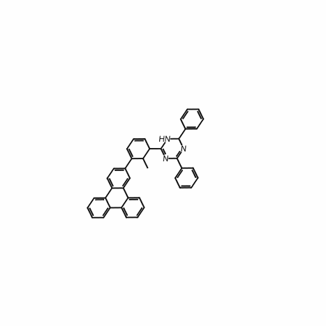 CC1C(c2ccc3c4ccccc4c4ccccc4c3c2)=CC=CC1C1=NC(c2ccccc2)=NC(c2ccccc2)N1